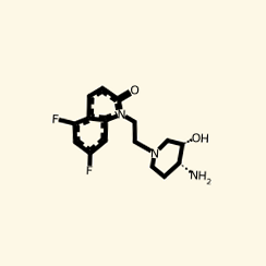 N[C@@H]1CCN(CCn2c(=O)ccc3c(F)cc(F)cc32)C[C@@H]1O